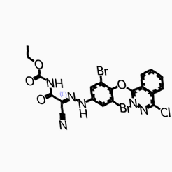 CCOC(=O)NC(=O)/C(C#N)=N/Nc1cc(Br)c(Oc2nnc(Cl)c3ccccc23)c(Br)c1